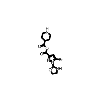 O=C(OC(=O)C1CCNCC1)c1cc(Br)n(C2NCCO2)n1